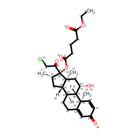 CCOC(=O)CCCC(=O)O[C@]1(C(=O)CCl)[C@@H](C)C[C@H]2[C@@H]3CCC4=CC(=O)C=C[C@]4(C)[C@@]3(F)[C@@H](O)C[C@@]21C